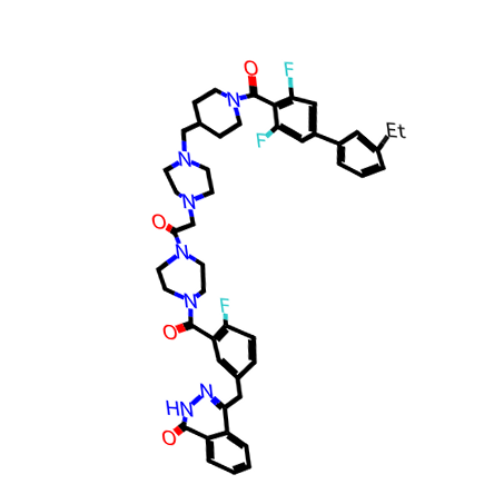 CCc1cccc(-c2cc(F)c(C(=O)N3CCC(CN4CCN(CC(=O)N5CCN(C(=O)c6cc(Cc7n[nH]c(=O)c8ccccc78)ccc6F)CC5)CC4)CC3)c(F)c2)c1